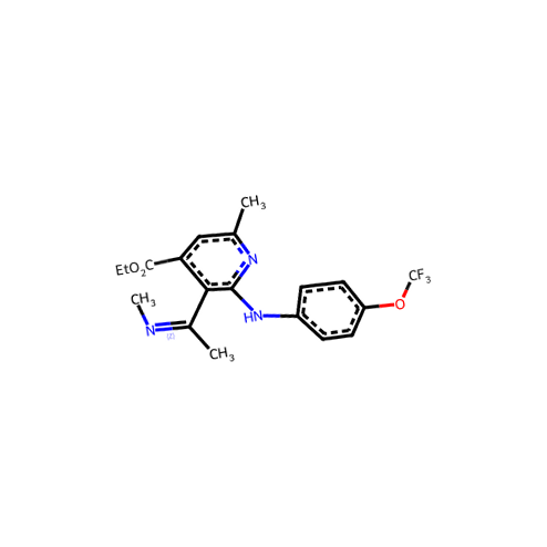 CCOC(=O)c1cc(C)nc(Nc2ccc(OC(F)(F)F)cc2)c1/C(C)=N\C